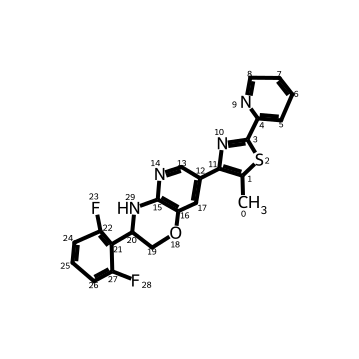 Cc1sc(-c2ccccn2)nc1-c1cnc2c(c1)OCC(c1c(F)cccc1F)N2